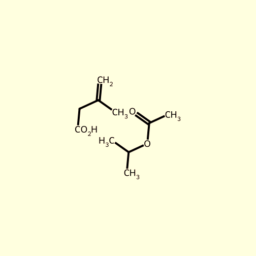 C=C(C)CC(=O)O.CC(=O)OC(C)C